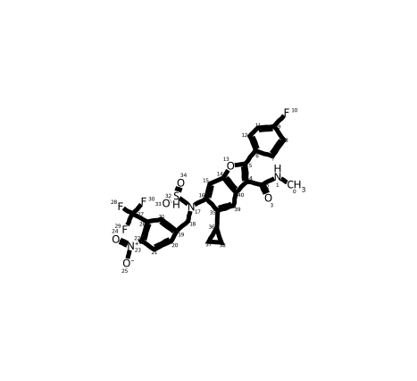 CNC(=O)c1c(-c2ccc(F)cc2)oc2cc(N(Cc3ccc([N+](=O)[O-])c(C(F)(F)F)c3)[SH](=O)=O)c(C3CC3)cc12